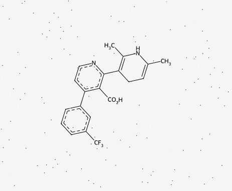 CC1=CCC(c2nccc(-c3cccc(C(F)(F)F)c3)c2C(=O)O)=C(C)N1